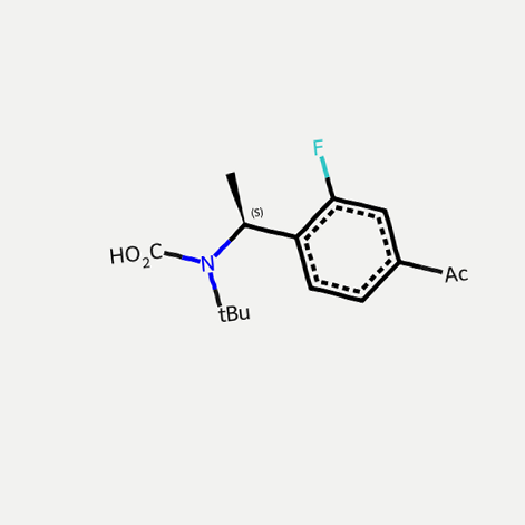 CC(=O)c1ccc([C@H](C)N(C(=O)O)C(C)(C)C)c(F)c1